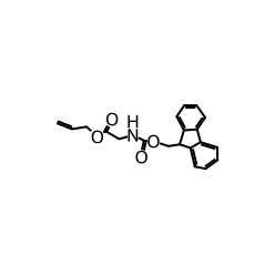 C=CCOC(=O)CNC(=O)OCC1c2ccccc2-c2ccccc21